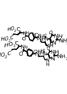 Nc1nc2c(c(=O)[nH]1)N(C=O)C(CNC1=CCC(C(=O)N[C@@H](CCC(=O)O)C(=O)O)CC1)=CN2.Nc1nc2c(c(=O)[nH]1)N(C=O)C(CNc1ccc(C(=O)NC(CCC(=O)O)C(=O)O)cc1)CN2